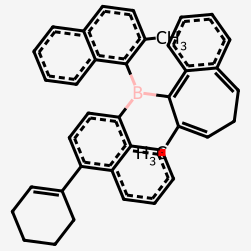 CC1=CCC=c2ccccc2=C1B(c1c(C)ccc2ccccc12)c1ccc(C2=CCCCC2)c2ccccc12